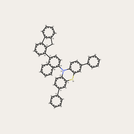 c1ccc(-c2ccc3c(c2)Sc2cc(-c4ccccc4)ccc2N3c2ccc(-c3cccc4c3Cc3ccccc3-4)c3ccccc23)cc1